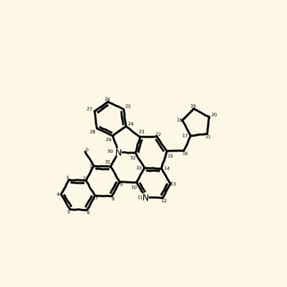 Cc1c2ccccc2cc2c3nccc4c(CC5CCCC5)cc5c6ccccc6n(c12)c5c43